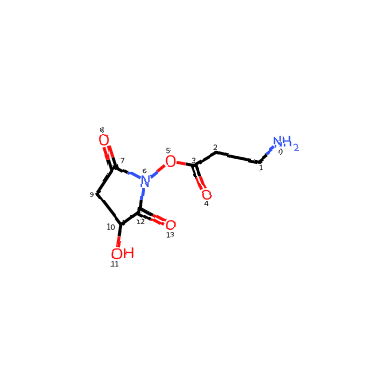 NCCC(=O)ON1C(=O)CC(O)C1=O